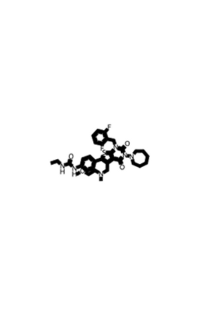 CCNC(=O)Nc1ccc(-c2sc3c(c2CN(C)CCOC)c(=O)n(N2CCCCCC2)c(=O)n3Cc2c(F)cccc2F)cc1